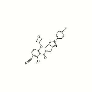 COc1c(C#N)ccc(OC2COC2)c1C(=O)N1Cc2cn(-c3ccc(F)cc3)nc2C1